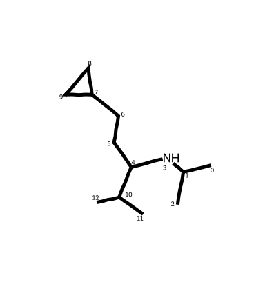 CC(C)NC(CCC1CC1)C(C)C